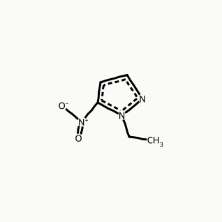 CCn1nccc1[N+](=O)[O-]